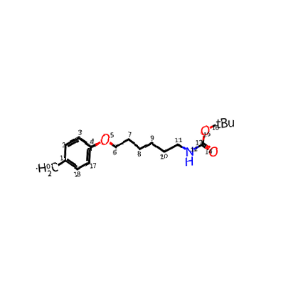 [CH2]c1ccc(OCCCCCCNC(=O)OC(C)(C)C)cc1